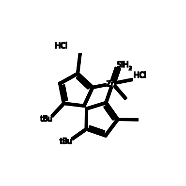 CC1=[C]([Zr]([CH3])([CH3])(=[SiH2])[C]2=C(C)C=C(C(C)(C)C)C2)CC(C(C)(C)C)=C1.Cl.Cl